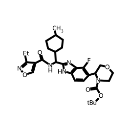 CCc1nocc1C(=O)NC(c1nc2c(F)c(C3COCCN3C(=O)OC(C)(C)C)ccc2[nH]1)C1CCC(C)CC1